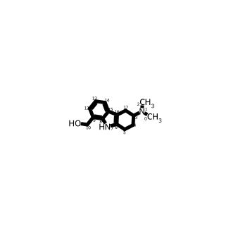 CN(C)C1CCc2[nH]c3c(CO)cccc3c2C1